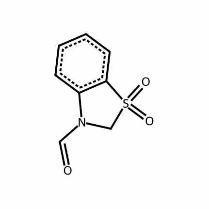 O=CN1CS(=O)(=O)c2ccccc21